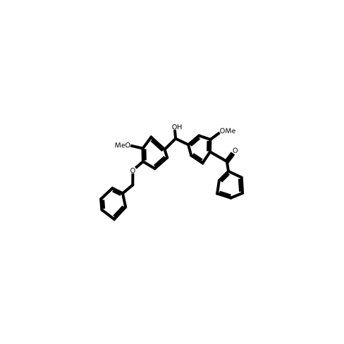 COc1cc(C(O)c2ccc(C(=O)c3ccccc3)c(OC)c2)ccc1OCc1ccccc1